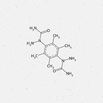 Cc1c(C)c(N(N)C(N)=O)c(C)c(C)c1N(N)C(N)=O